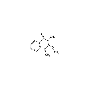 COC(OC)C(C)C(=O)c1ccccc1